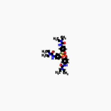 CCN(CC)C(=O)Nc1ccc(OP(=S)(Oc2ccc(NC(=O)N(CC)CC)cc2)Oc2ccc(NC(=O)N(CC)CC)cc2)cc1